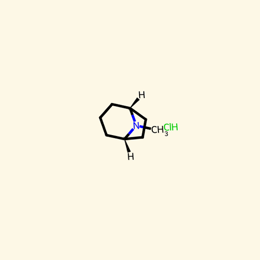 CN1[C@@H]2CCC[C@H]1CC2.Cl